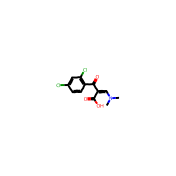 CN(C)C=C(C(=O)O)C(=O)c1ccc(Cl)cc1Cl